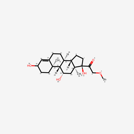 CC(C)OCC(=O)[C@@]1(O)CC[C@H]2[C@@H]3CCC4=CC(O)CC[C@]4(C)[C@H]3[C@@H](O)C[C@@]21C